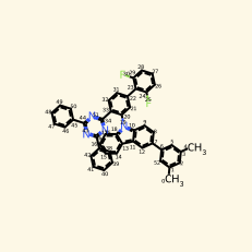 Cc1cc(C)cc(-c2ccc3c(c2)c2ccccc2n3-c2cc(-c3c(F)cccc3F)ccc2-c2nc(-c3ccccc3)nc(-c3ccccc3)n2)c1